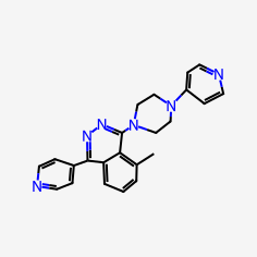 Cc1cccc2c(-c3ccncc3)nnc(N3CCN(c4ccncc4)CC3)c12